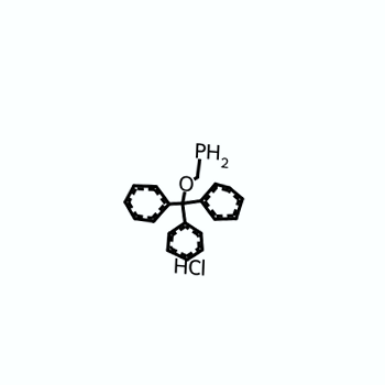 Cl.PCOC(c1ccccc1)(c1ccccc1)c1ccccc1